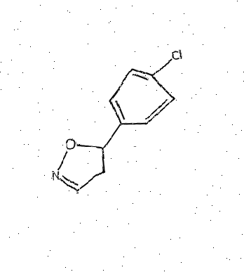 Clc1ccc(C2C[C]=NO2)cc1